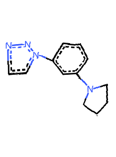 [CH]1CCN(c2cccc(-n3ccnn3)c2)C1